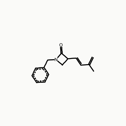 C=C(C)C=CC1CN(Cc2ccccc2)C1=O